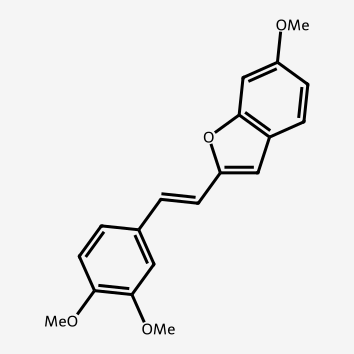 COc1ccc2cc(C=Cc3ccc(OC)c(OC)c3)oc2c1